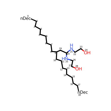 CCCCCCCCCCCCCCCCCCC(CCCCCCCCCCCCCCCCCC)CC(NCCO)NCCO